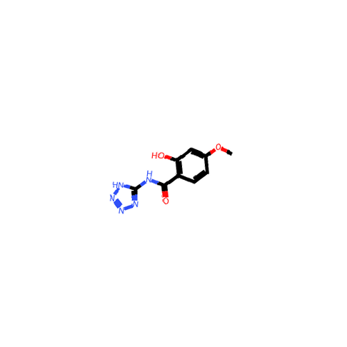 COc1ccc(C(=O)Nc2nnn[nH]2)c(O)c1